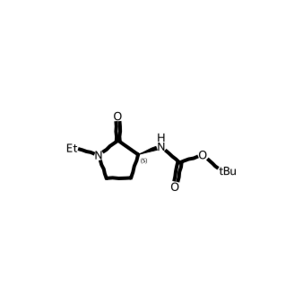 CCN1CC[C@H](NC(=O)OC(C)(C)C)C1=O